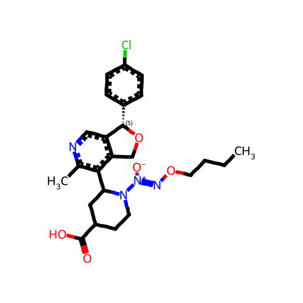 CCCCON=[N+]([O-])N1CCC(C(=O)O)CC1c1c(C)ncc2c1CO[C@H]2c1ccc(Cl)cc1